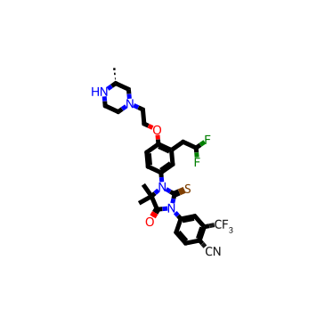 C[C@@H]1CN(CCOc2ccc(N3C(=S)N(c4ccc(C#N)c(C(F)(F)F)c4)C(=O)C3(C)C)cc2CC(F)F)CCN1